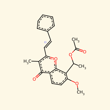 COc1ccc2c(=O)c(C)c(/C=C/c3ccccc3)oc2c1C(C)OC(C)=O